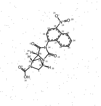 O=C1[C@H]2[C@@H]3C[C@@H](CN3C(=O)O)N2C(=O)N1c1ccc([N+](=O)[O-])c2ccccc12